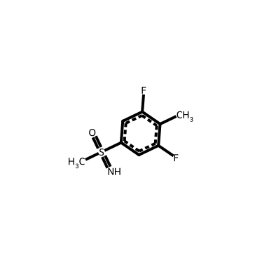 Cc1c(F)cc(S(C)(=N)=O)cc1F